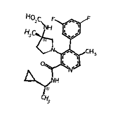 Cc1cnc(C(=O)N[C@@H](C)C2CC2)c(N2CC[C@](C)(NC(=O)O)C2)c1-c1cc(F)cc(F)c1